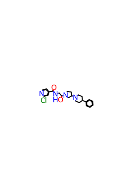 O=C(NCC(=O)N1CCC(N2CCC(c3ccccc3)CC2)C1)c1ccnc(Cl)c1